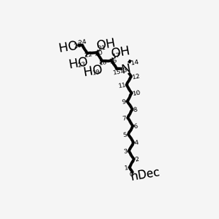 CCCCCCCCCCCCCCCCCCCCCCN(C)C[C@H](O)[C@@H](O)[C@H](O)[C@H](O)CO